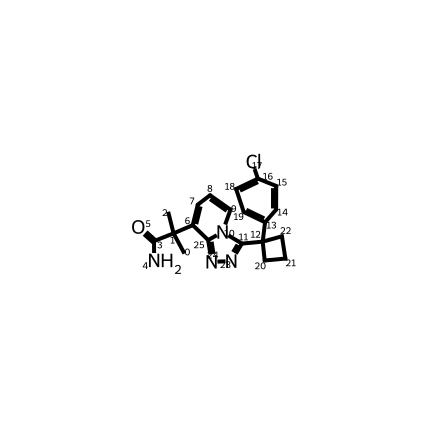 CC(C)(C(N)=O)c1cccn2c(C3(c4ccc(Cl)cc4)CCC3)nnc12